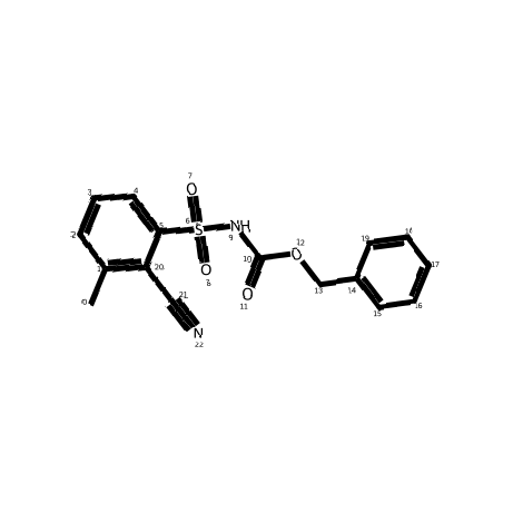 Cc1cccc(S(=O)(=O)NC(=O)OCc2ccccc2)c1C#N